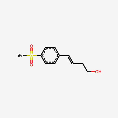 CCCS(=O)(=O)c1ccc(C=CCCO)cc1